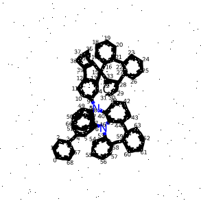 c1ccc(-c2ccc(N(c3ccc4c(c3)C3(c5ccccc5-c5ccccc5-c5ccccc53)c3ccccc3-4)c3cccc4c3N(c3ccccc3)c3ccccc3-c3ccccc3-4)cc2)cc1